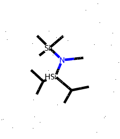 CC(C)[SiH](C(C)C)N(C)[Si](C)(C)C